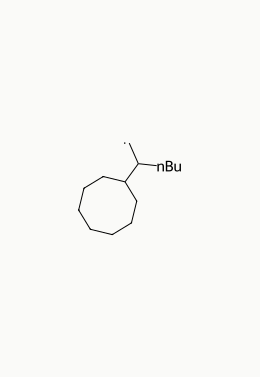 [CH2]C(CCCC)C1CCCCCCC1